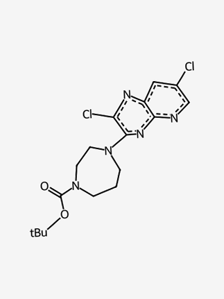 CC(C)(C)OC(=O)N1CCCN(c2nc3ncc(Cl)cc3nc2Cl)CC1